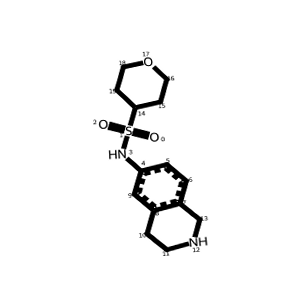 O=S(=O)(Nc1ccc2c(c1)CCNC2)C1CCOCC1